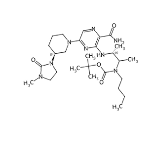 CCCCN(C(=O)OC(C)(C)C)C(C)[C@@H](C)Nc1nc(N2CCC[C@H](N3CCN(C)C3=O)C2)cnc1C(N)=O